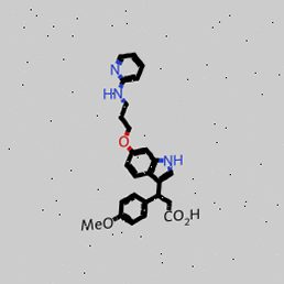 COc1ccc(C(CC(=O)O)c2c[nH]c3cc(OCCCNc4ccccn4)ccc23)cc1